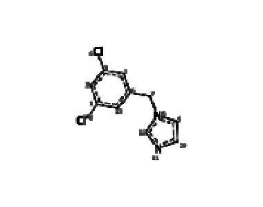 Clc1cc(Cl)cc(Cn2ccnc2)c1